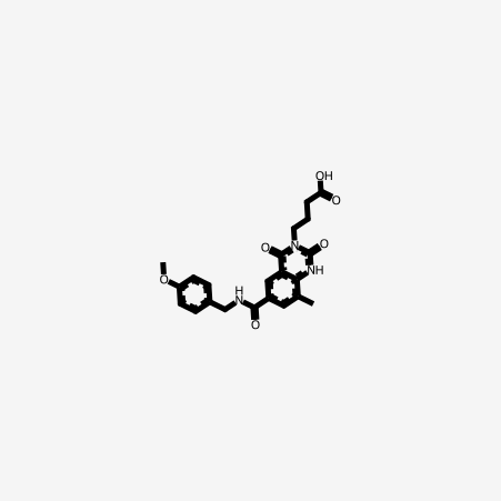 COc1ccc(CNC(=O)c2cc(C)c3[nH]c(=O)n(CCCC(=O)O)c(=O)c3c2)cc1